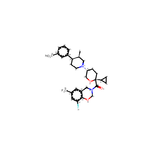 C[C@H]1CN([C@@H]2CC[C@@](C(=O)N3COc4c(F)cc(C(F)(F)F)cc4C3)(C3CC3)OC2)CCC1c1cccc(C(=O)O)c1